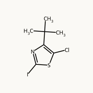 CC(C)(C)c1nc(I)sc1Cl